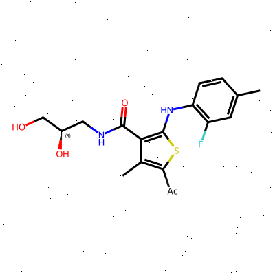 CC(=O)c1sc(Nc2ccc(C)cc2F)c(C(=O)NC[C@@H](O)CO)c1C